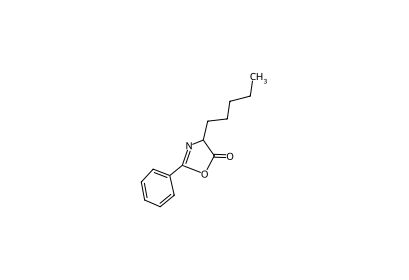 CCCCCC1N=C(c2ccccc2)OC1=O